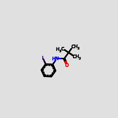 CC(C)(C)C(=O)Nc1ccccc1I